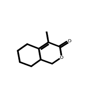 CC1=C2CCCCC2COC1=O